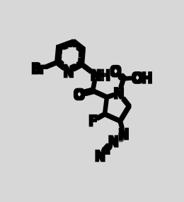 [N-]=[N+]=NC1CN(C(=O)O)C(C(=O)Nc2cccc(Br)n2)C1F